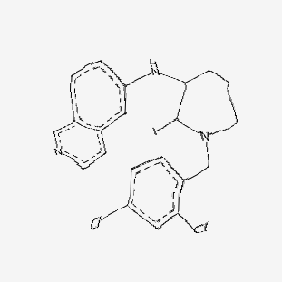 Clc1ccc(CN2CCCC(Nc3ccc4cnccc4c3)C2I)c(Cl)c1